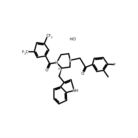 Cc1cc(C(=O)CN2CCN(C(=O)c3cc(C(F)(F)F)cc(C(F)(F)F)c3)[C@H](Cc3c[nH]c4ccccc34)C2)ccc1F.Cl